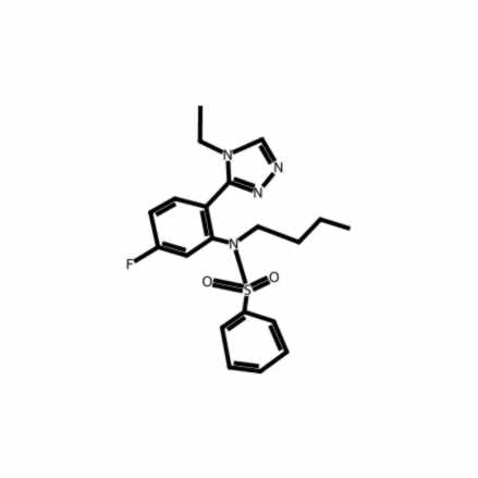 CCCCN(c1cc(F)ccc1-c1nncn1CC)S(=O)(=O)c1ccccc1